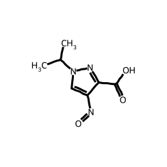 CC(C)n1cc(N=O)c(C(=O)O)n1